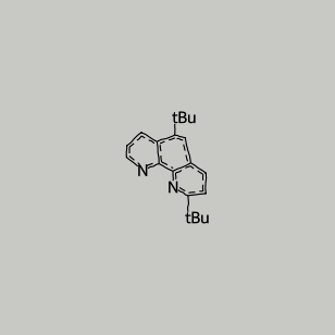 CC(C)(C)c1ccc2cc(C(C)(C)C)c3cccnc3c2n1